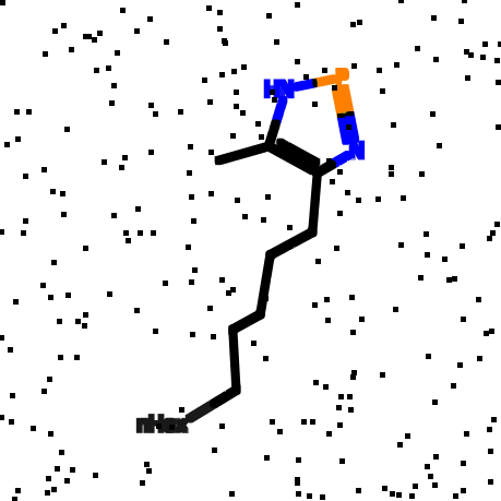 CCCCCCCCCCCc1np[nH]c1C